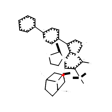 CS(=O)(=O)c1c([C@@H]2C[C@H]3CC[C@@H](C2)N3C(=O)[C@@H]2COC(=O)N2)nc2c(-c3ccc(-c4ccccc4)nc3)cnn2c1N